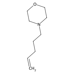 C=CCCCN1CCOCC1